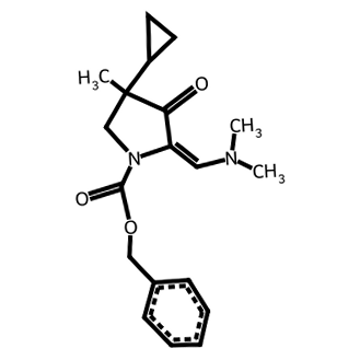 CN(C)/C=C1\C(=O)C(C)(C2CC2)CN1C(=O)OCc1ccccc1